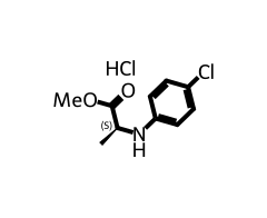 COC(=O)[C@H](C)Nc1ccc(Cl)cc1.Cl